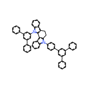 c1ccc(-c2cc(-c3ccccc3)cc(-c3ccc(-n4c5c(c6ccccc64)-c4c(c6ccccc6n4-c4cc(-c6ccccc6)cc(-c6ccccc6)c4)CC5)cc3)c2)cc1